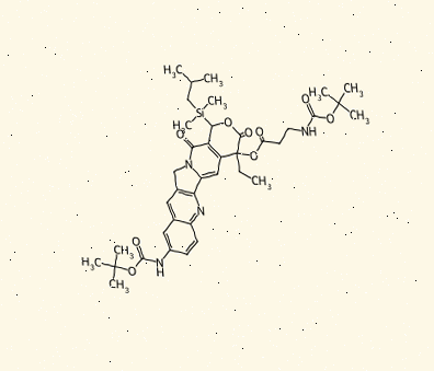 CCC1(OC(=O)CCNC(=O)OC(C)(C)C)C(=O)OC([Si](C)(C)CC(C)C)c2c1cc1n(c2=O)Cc2cc3cc(NC(=O)OC(C)(C)C)ccc3nc2-1